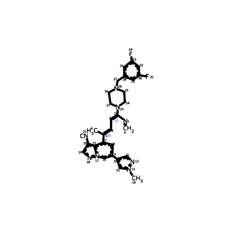 C=N/C(=C\C=C(/C)c1cc(-c2cnn(C)c2)cn2ncc(C#N)c12)N1CCN(Cc2cc(F)cc(F)c2)CC1